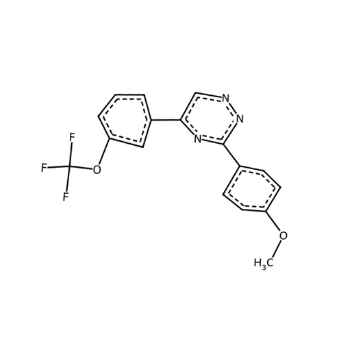 COc1ccc(-c2nncc(-c3cccc(OC(F)(F)F)c3)n2)cc1